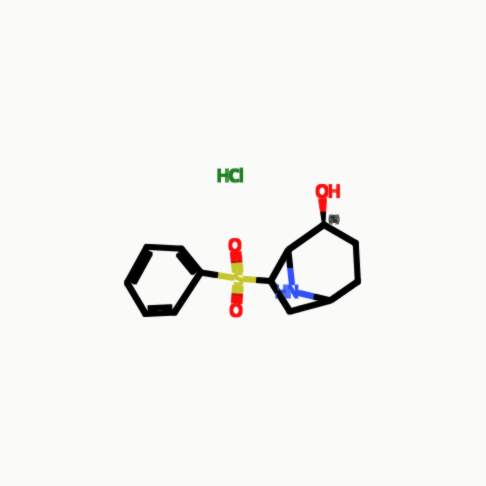 Cl.O=S(=O)(c1ccccc1)C1CC2CC[C@H](O)C1N2